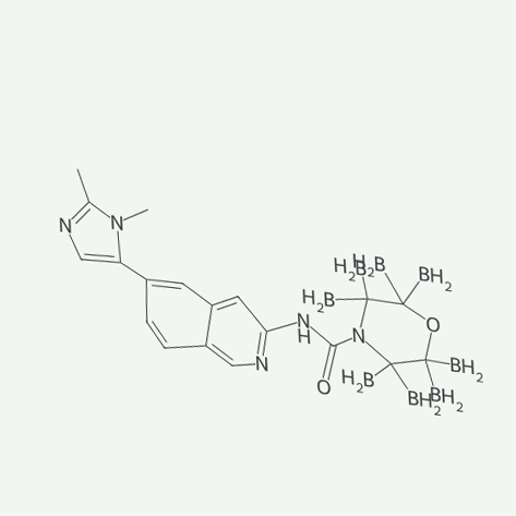 BC1(B)OC(B)(B)C(B)(B)N(C(=O)Nc2cc3cc(-c4cnc(C)n4C)ccc3cn2)C1(B)B